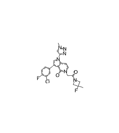 Cn1cc(-n2cc(-c3ccc(F)c(Cl)c3)c3c(=O)n(CC(=O)N4CC(C)(F)C4)ccc32)nn1